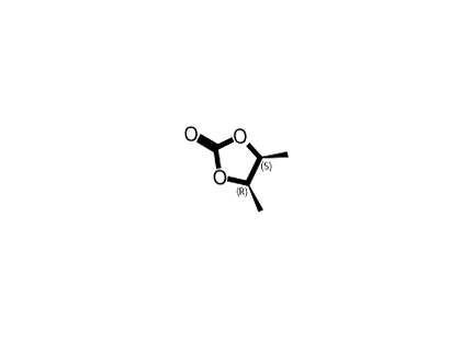 C[C@@H]1OC(=O)O[C@@H]1C